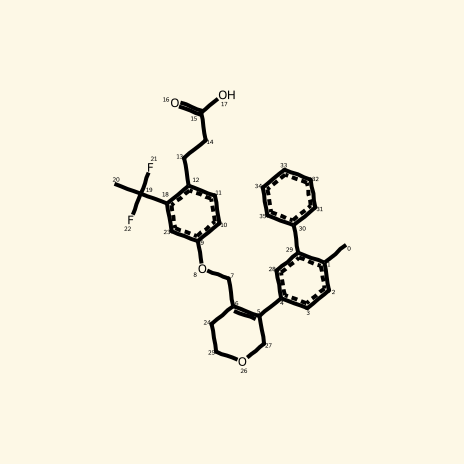 Cc1ccc(C2=C(COc3ccc(CCC(=O)O)c(C(C)(F)F)c3)CCOC2)cc1-c1ccccc1